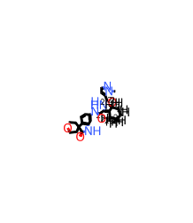 [2H]C1([2H])C(=C(NC(=O)c2ccnn2C)C(=O)Nc2ccc3c(c2)NC(=O)C32CCOCC2)C([2H])([2H])C([2H])([2H])C([2H])([2H])C1([2H])[2H]